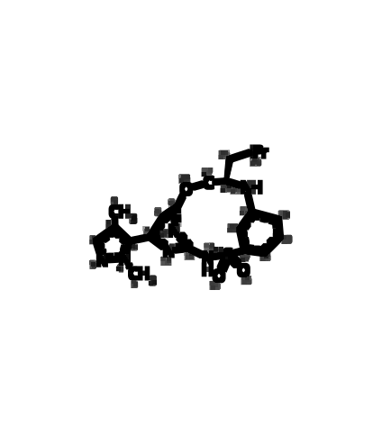 Cc1cnn(C)c1-c1cc2nc(n1)NS(=O)(=O)c1cccc(c1)N[C@H](CC(C)C)CO2